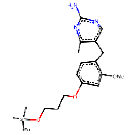 COc1cc(OCCCO[Si](C)(C)C(C)(C)C)ccc1Cc1[c]nc(N)nc1C